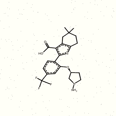 CC1(C)CCc2sc(-c3ccc(C(F)(F)F)cc3O[C@H]3CCN(N)C3)c(C(=O)O)c2C1